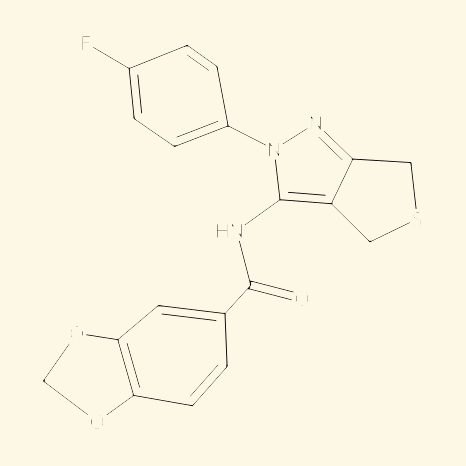 O=C(Nc1c2c(nn1-c1ccc(F)cc1)CSC2)c1ccc2c(c1)OCO2